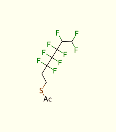 CC(=O)SCCC(F)(F)C(F)(F)C(F)(F)C(F)C(F)F